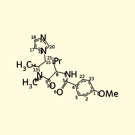 COc1ccc(C(=O)NC(C(=O)N(C)C(C)Cn2ccnc2)C(C)C)cc1